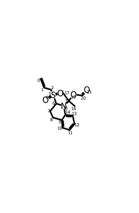 C=CCS(=O)(=O)C1CCc2ccccc2N1C(C)(C)OC=O